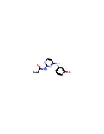 CNC(=O)Nc1nccc(Nc2cccc(O)c2)n1